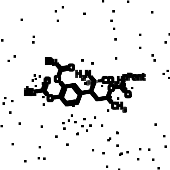 CCCCCC(=O)OC(C)CC(c1ccc(OC(=O)C(C)CC)c(OC(=O)C(C)CC)c1)[C@H](N)C(=O)O